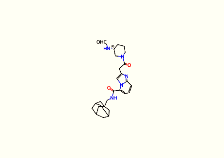 O=CN[C@@H]1CCCN(C(=O)Cc2cn3c(C(=O)NCC45CC6CC(CC(C6)C4)C5)cccc3n2)C1